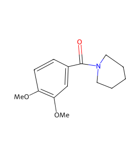 COc1ccc(C(=O)N2CCCCC2)cc1OC